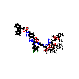 CC(C)(C)OC(=O)CC[C@H](NC(=O)N[C@@H](CCCCNC(=O)[C@H](Cc1cc(F)c(F)c(F)c1)NC(=O)C1CCC(CNC(=O)OCC2c3ccccc3-c3ccccc32)CC1)C(=O)OC(C)(C)C)C(=O)OC(C)(C)C